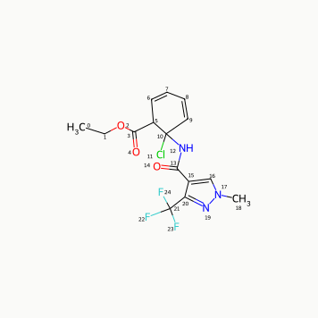 CCOC(=O)C1C=CC=CC1(Cl)NC(=O)c1cn(C)nc1C(F)(F)F